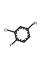 [CH2]C(C)c1ccc(F)c(Cl)c1